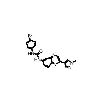 Cn1cc(-c2cnc3cc(NC(=O)Nc4ccc(Br)cc4)ccc3n2)cn1